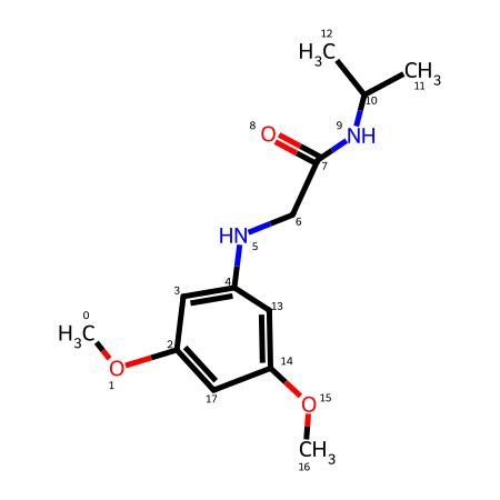 COc1cc(NCC(=O)NC(C)C)cc(OC)c1